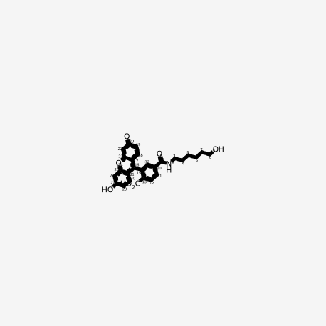 O=C(NCCCCCCO)c1ccc(C(=O)O)c(-c2c3ccc(=O)cc-3oc3cc(O)ccc23)c1